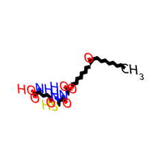 CCCCCCCCC1O[C@H]1CCCCCCCCOC(=O)CNC(=O)C(CS)NC(=O)CCC(N)C(=O)O